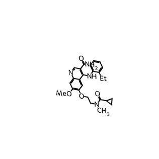 CCc1ccccc1Nc1c(C(N)=O)cnc2cc(OC)c(OCCN(C)C(=O)C3CC3)cc12